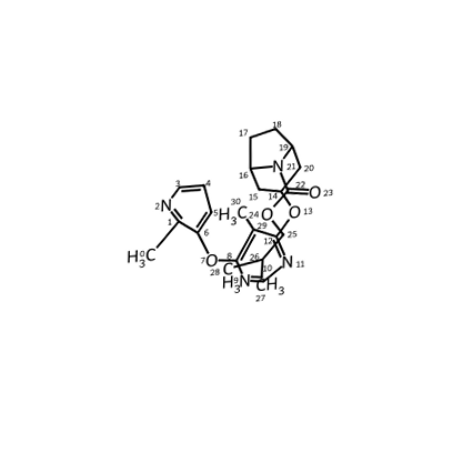 Cc1ncccc1Oc1ncnc(OC2CC3CCC(C2)N3C(=O)OCC(C)C)c1C